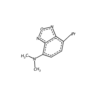 CC(C)c1ccc(N(C)C)c2nonc12